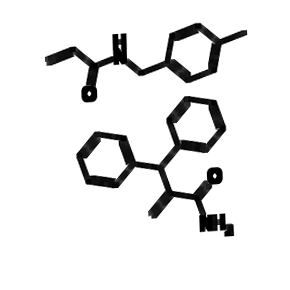 C=C(C(N)=O)C(c1ccccc1)c1ccccc1.C=CC(=O)NCc1ccc(C)cc1